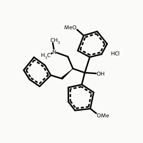 COc1cccc(C(O)(c2cccc(OC)c2)[C@@H](Cc2ccccc2)CN(C)C)c1.Cl